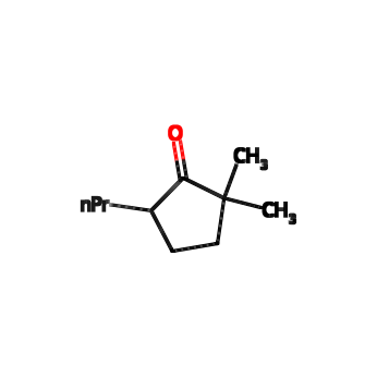 CCCC1CCC(C)(C)C1=O